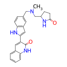 CN(Cc1ccc2[nH]c(-c3cc4ccccc4[nH]c3=O)cc2c1)CC1CCC(=O)N1